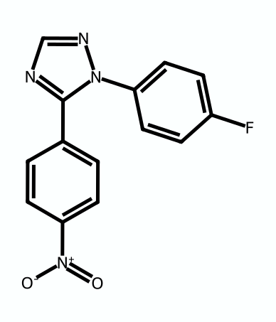 O=[N+]([O-])c1ccc(-c2ncnn2-c2ccc(F)cc2)cc1